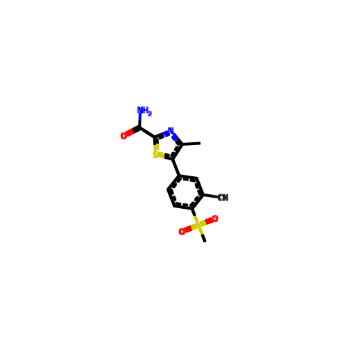 Cc1nc(C(N)=O)sc1-c1ccc(S(C)(=O)=O)c(C#N)c1